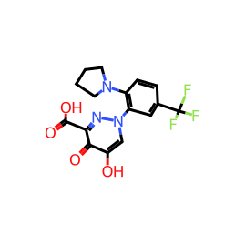 O=C(O)c1nn(-c2cc(C(F)(F)F)ccc2N2CCCC2)cc(O)c1=O